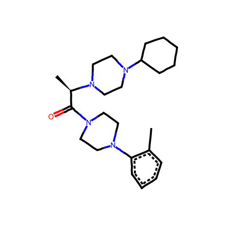 Cc1ccccc1N1CCN(C(=O)[C@@H](C)N2CCN(C3CCCCC3)CC2)CC1